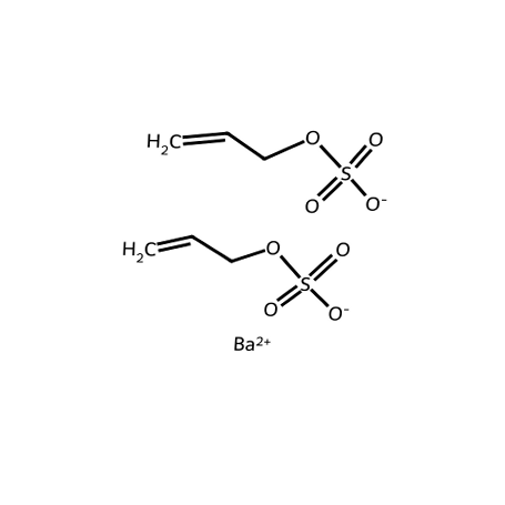 C=CCOS(=O)(=O)[O-].C=CCOS(=O)(=O)[O-].[Ba+2]